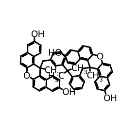 CC(C)(c1cccc(CC2(C)c3c(ccc4cc(O)ccc34)Oc3ccc4cc(O)ccc4c32)c1)c1ccccc1CC1(C)c2c(ccc3cc(O)ccc23)Oc2ccc3cc(O)ccc3c21